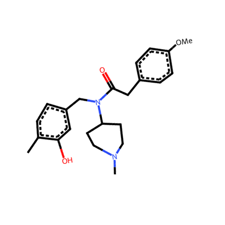 COc1ccc(CC(=O)N(Cc2ccc(C)c(O)c2)C2CCN(C)CC2)cc1